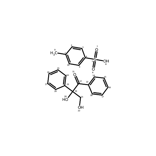 Cc1ccc(S(=O)(=O)O)cc1.O=C(c1ccccc1)C(O)(CO)c1ccccc1